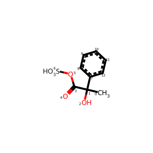 CC(O)(C(=O)OS(=O)(=O)O)c1ccccc1